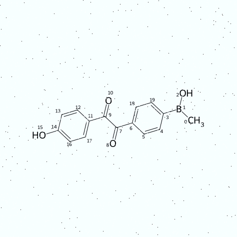 CB(O)c1ccc(C(=O)C(=O)c2ccc(O)cc2)cc1